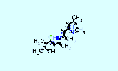 C=C(/C=C(\F)C(C)C(C)C)N/C(C)=C/C(=C/CC)NC